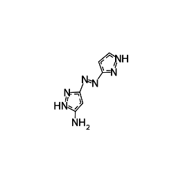 Nc1cc(N=Nc2cc[nH]n2)n[nH]1